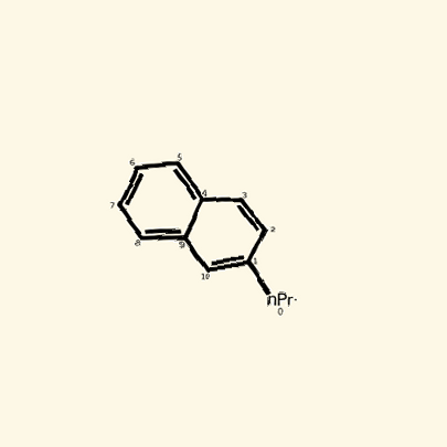 [CH2]C[CH]c1ccc2ccccc2c1